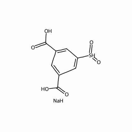 O=C(O)c1cc(C(=O)O)cc([SH](=O)=O)c1.[NaH]